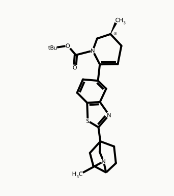 C[C@H]1CC=C(c2ccc3sc(C45CCC(CC4)N(C)C5)nc3c2)N(C(=O)OC(C)(C)C)C1